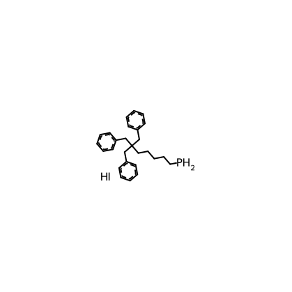 I.PCCCCCC(Cc1ccccc1)(Cc1ccccc1)Cc1ccccc1